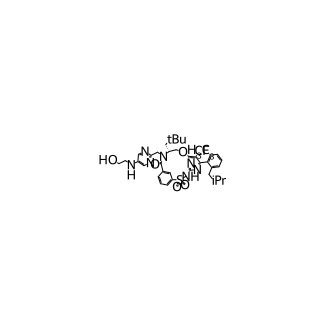 Cc1cccc(CC(C)C)c1-c1nc2nc(c1C(F)(F)F)OC[C@@H](CC(C)(C)C)N(Cc1ncc(NCCO)cn1)C(=O)c1cccc(c1)S(=O)(=O)N2